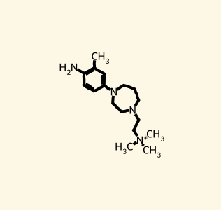 Cc1cc(N2CCCN(CC[N+](C)(C)C)CC2)ccc1N